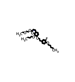 CCCCCOc1ccc(CCOc2ccc(/C=C\C(=O)OCCOCC)cc2OCCCC)cc1F